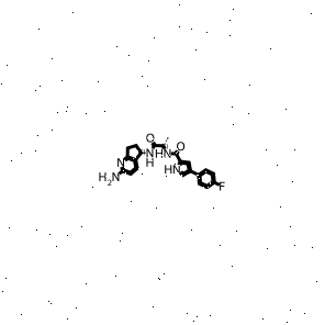 C[C@H](NC(=O)c1cc(-c2ccc(F)cc2)c[nH]1)C(=O)N[C@H]1CCc2nc(N)ccc21